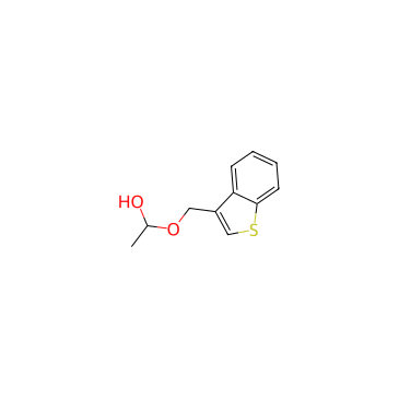 CC(O)OCc1csc2ccccc12